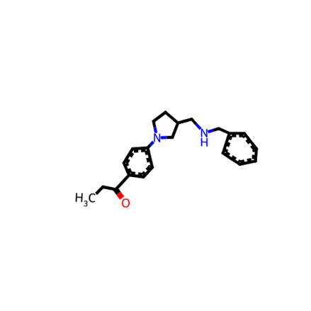 CCC(=O)c1ccc(N2CCC(CNCc3ccccc3)C2)cc1